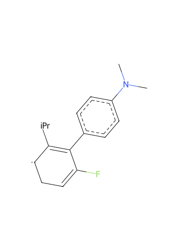 CC(C)C1=C(c2ccc(N(C)C)cc2)C(F)=CC[CH]1